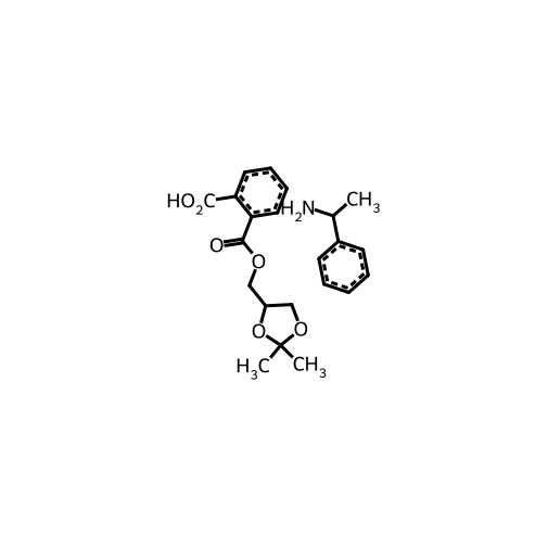 CC(N)c1ccccc1.CC1(C)OCC(COC(=O)c2ccccc2C(=O)O)O1